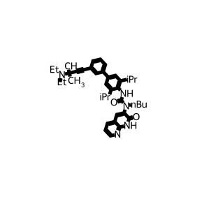 CCCCN(C(=O)Nc1c(C(C)C)cc(-c2cccc(C#CC(C)(C)N(CC)CC)c2)cc1C(C)C)c1cc2cccnc2[nH]c1=O